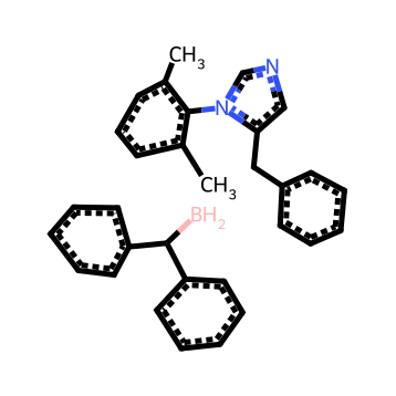 BC(c1ccccc1)c1ccccc1.Cc1cccc(C)c1-n1cncc1Cc1ccccc1